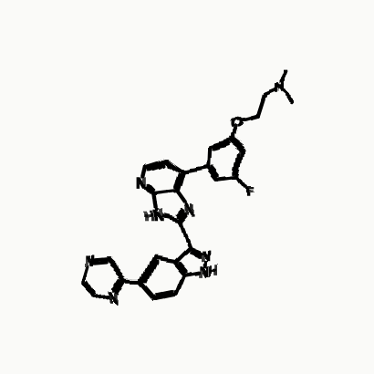 CN(C)CCOc1cc(F)cc(-c2ccnc3[nH]c(-c4n[nH]c5ccc(-c6cnccn6)cc45)nc23)c1